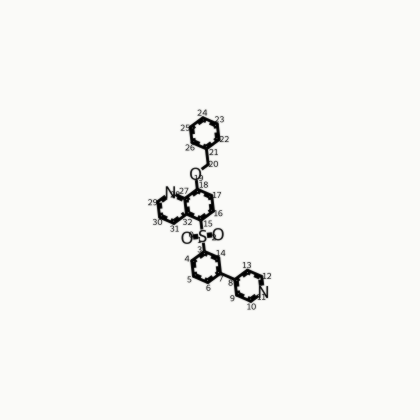 O=S(=O)(c1cccc(-c2ccncc2)c1)c1ccc(OCc2ccccc2)c2ncccc12